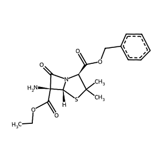 CCOC(=O)[C@]1(N)C(=O)N2[C@@H](C(=O)OCc3ccccc3)C(C)(C)S[C@@H]21